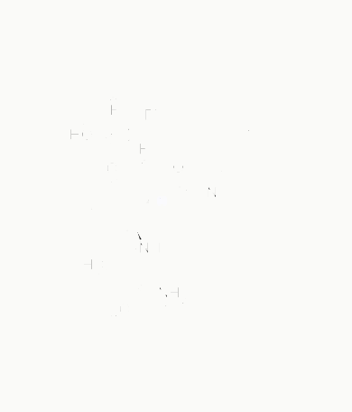 C[C@H](N[C@H](/C=C/C(=O)N1CCc2ccccc21)C1CC1)C(N)=O.O=C(O)C(F)(F)F